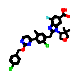 Cc1cc(Cc2nc3c(F)cc(C(=O)O)cc3n2[C@@H]2COCC2(C)C)c(Cl)cc1-c1ccnc(OCc2ccc(Cl)cc2)n1